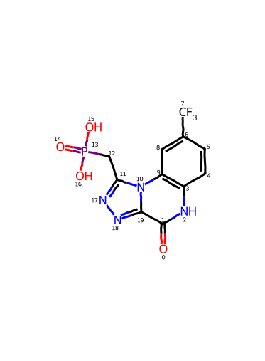 O=c1[nH]c2ccc(C(F)(F)F)cc2n2c(CP(=O)(O)O)nnc12